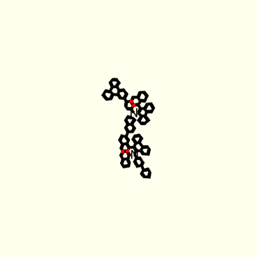 c1ccc(-c2ccc(N(c3cccc4ccccc34)c3c(-c4cccc5ccc(-c6ccc7cc(N(c8ccc(-c9ccc%10c%11ccccc%11c%11ccccc%11c%10c9)cc8)c8c(-c9cccc%10ccccc9%10)c9ccccc9c9ccccc89)ccc7c6)cc45)c4ccccc4c4ccccc34)cc2)cc1